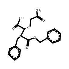 NC(=O)CC[C@@H](C(=O)O)N(Cc1ccccc1)C(=O)OCc1ccccc1